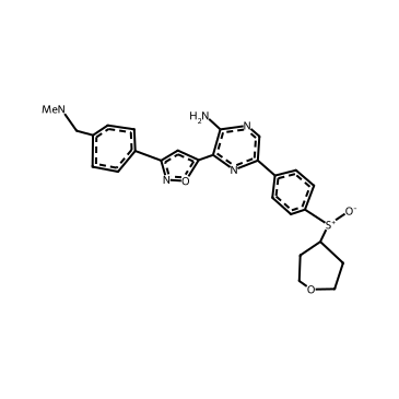 CNCc1ccc(-c2cc(-c3nc(-c4ccc([S+]([O-])C5CCOCC5)cc4)cnc3N)on2)cc1